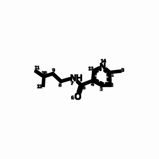 Cc1ccc(C(=O)NCCC(C)C)cn1